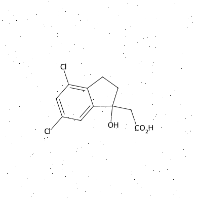 O=C(O)CC1(O)CCc2c(Cl)cc(Cl)cc21